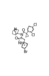 NC(=O)[C@H](Cc1ccc(Br)cc1)N(C(=O)C1(c2ccc(Cl)cc2Cl)CC1)C1CN2CCC1CC2